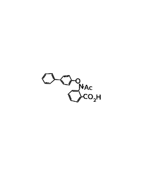 CC(=O)N(Oc1ccc(-c2ccccc2)cc1)c1ccccc1C(=O)O